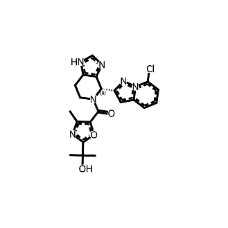 Cc1nc(C(C)(C)O)oc1C(=O)N1CCc2[nH]cnc2[C@@H]1c1cc2cccc(Cl)n2n1